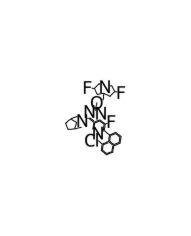 Fc1c(-c2cccc3cccc(Cl)c23)ncc2c(N3CC4CCC(C4)C3)nc(OCC34CC(F)CN3CC(F)C4)nc12